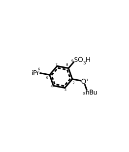 CCCCOc1ccc(C(C)C)cc1S(=O)(=O)O